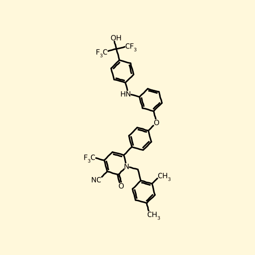 Cc1ccc(Cn2c(-c3ccc(Oc4cccc(Nc5ccc(C(O)(C(F)(F)F)C(F)(F)F)cc5)c4)cc3)cc(C(F)(F)F)c(C#N)c2=O)c(C)c1